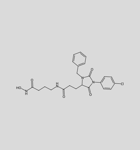 O=C(CCCNC(=O)CCC1C(=O)N(c2ccc(Cl)cc2)C(=O)N1Cc1ccccc1)NO